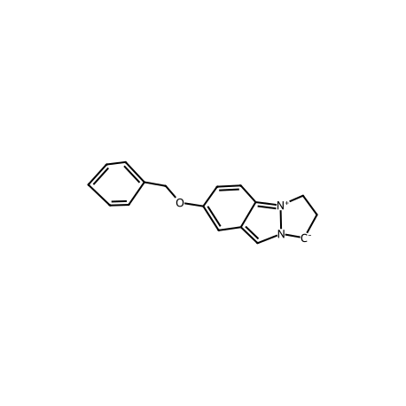 c1ccc(COc2ccc3c(c2)cn2[n+]3CC[CH-]2)cc1